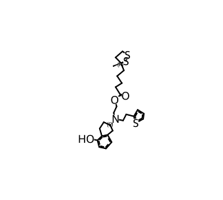 C[C@@]1(CCCCC(=O)OCCN(CCc2cccs2)[C@H]2CCc3c(O)cccc3C2)CCSS1